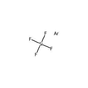 F[Si](F)(F)F.[Ar]